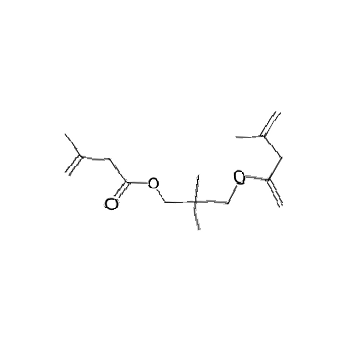 C=C(C)CC(=C)OCC(C)(C)COC(=O)CC(=C)C